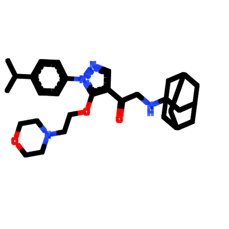 CC(C)c1ccc(-n2ncc(C(=O)CNC34CC5CC(CC(C5)C3)C4)c2OCCN2CCOCC2)cc1